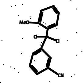 COc1ccccc1C(Cl)(Cl)c1cccc(C#N)c1